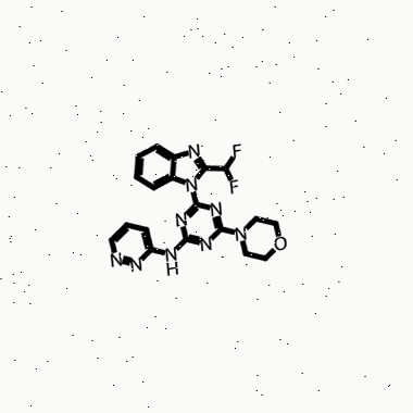 FC(F)c1nc2ccccc2n1-c1nc(Nc2cccnn2)nc(N2CCOCC2)n1